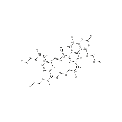 CCCCC(C)Oc1ccc(OC(C)CCCC)c(C=CC(=O)c2cc(OC(C)CCCC)cc(OC(C)CCCC)c2OC(C)CCCC)c1